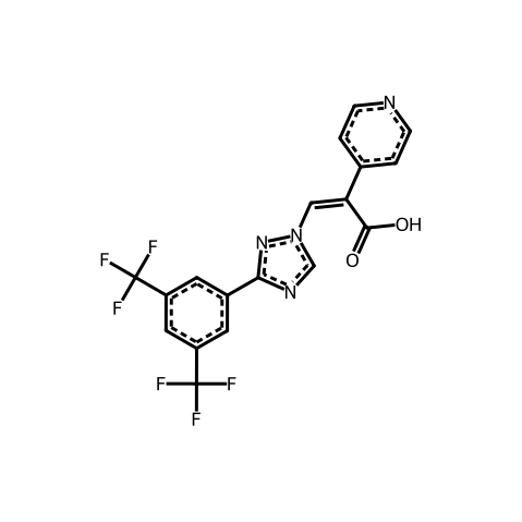 O=C(O)C(=Cn1cnc(-c2cc(C(F)(F)F)cc(C(F)(F)F)c2)n1)c1ccncc1